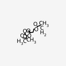 C=C(C)C(=O)OCCC(=O)OC1C(=O)OCC1(C)C